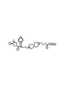 COC(=O)CCCN1CCC2(CCN(CCCNC(=O)[C@H]3CC(=O)N(C)[C@@H]3c3cccnc3)CC2)CC1